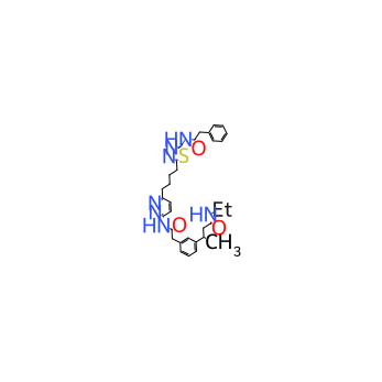 CCNC(=O)CC(C)c1cccc(CC(=O)Nc2ccc(CCCCc3nnc(NC(=O)Cc4ccccc4)s3)nn2)c1